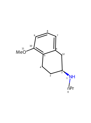 CCCN[C@H]1CCc2c(cccc2OC)C1